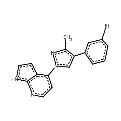 CCc1cccc(-c2cn(-c3ccnc4[nH]ccc34)nc2C)c1